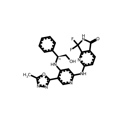 Cc1nnc(-c2cnc(Nc3ccc4c(n3)C(F)(F)NC4=O)cc2N[C@H](CO)c2ccccc2)o1